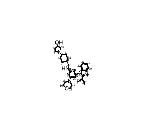 OC1CCN([C@H]2CC[C@H](CNc3nc(N4CCOCC4)cc(-n4c(C(F)F)nc5ccccc54)n3)CC2)C1